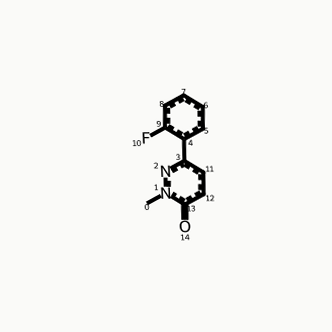 Cn1nc(-c2ccccc2F)ccc1=O